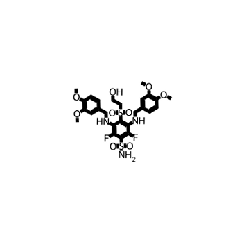 COc1ccc(CNc2c(F)c(S(N)(=O)=O)c(F)c(NCc3ccc(OC)c(OC)c3)c2S(=O)(=O)CCO)cc1OC